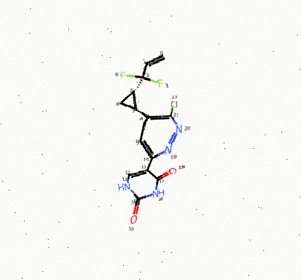 C=CC(F)(F)[C@H]1C[C@@H]1c1cc(-c2c[nH]c(=O)[nH]c2=O)nnc1Cl